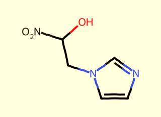 O=[N+]([O-])C(O)Cn1ccnc1